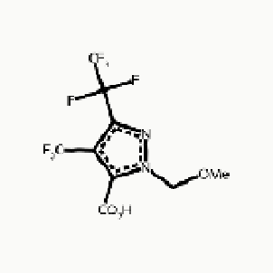 COCn1nc(C(F)(F)C(F)(F)F)c(C(F)(F)F)c1C(=O)O